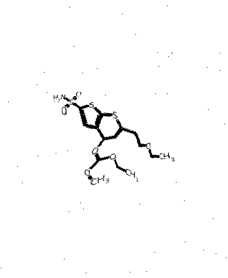 CCOCCC1CC(OC(OC)OCC)c2cc(S(N)(=O)=O)sc2S1